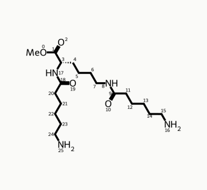 COC(=O)[C@H](CCCCNC(=O)CCCCCN)NC(=O)CCCCCN